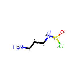 NCCCN[S+]([O-])Cl